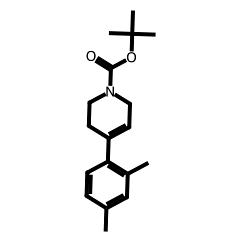 Cc1ccc(C2=CCN(C(=O)OC(C)(C)C)CC2)c(C)c1